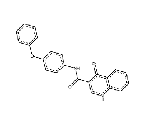 O=C(Nc1ccc(Oc2ccccc2)cc1)c1c[nH]c2ccccc2c1=O